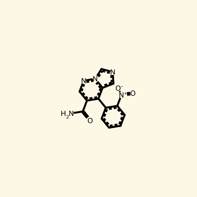 NC(=O)c1cnn2cncc2c1-c1ccccc1[N+](=O)[O-]